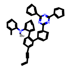 C=CC#Cc1ccc(-c2ccccc2N(c2ccccc2C)C(C)CC)c(-c2cccc(-c3nc(-c4ccccc4)nc(-c4ccccc4)n3)c2)c1